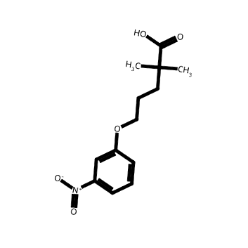 CC(C)(CCCOc1cccc([N+](=O)[O-])c1)C(=O)O